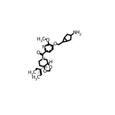 C=C/C(=C\C)[C@]12CCN(C(=O)c3ccc(OCC4C5CC(N)CC45)c(OC)n3)C[C@H]1OCO2